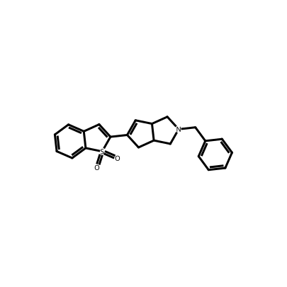 O=S1(=O)C(C2=CC3CN(Cc4ccccc4)CC3C2)=Cc2ccccc21